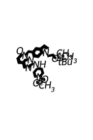 CC(C)(C)[Si](C)(C)OCCn1ccc2cc(Cn3c(=O)ccc4cnc(NC5CCN(S(C)(=O)=O)CC5)nc43)ccc21